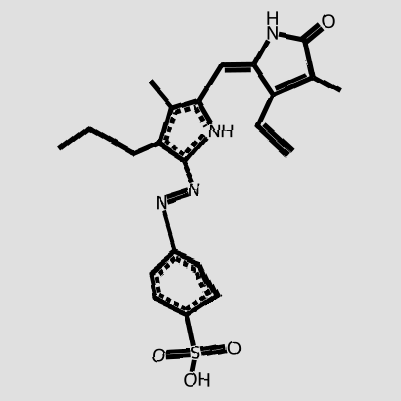 C=CC1=C(C)C(=O)NC1=Cc1[nH]c(N=Nc2ccc(S(=O)(=O)O)cc2)c(CCC)c1C